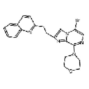 Brc1cnc(N2CCOCC2)c2nc(CCc3ccc4ccccc4n3)cn12